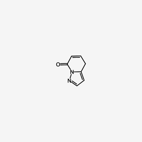 O=C1C=CCc2ccnn21